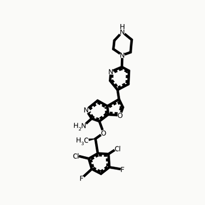 C[C@@H](Oc1c(N)ncc2c(-c3ccc(N4CCNCC4)nc3)coc12)c1c(Cl)c(F)cc(F)c1Cl